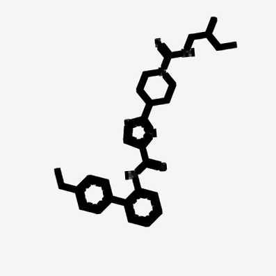 CCc1ccc(-c2ccccc2NC(=O)c2csc(C3CCN(C(=S)NCC(C)CC)CC3)n2)cc1